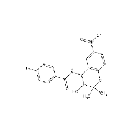 CC1(C)Oc2ccc([N+](=O)[O-])cc2C(NC(=O)c2ccc(F)cc2)C1O